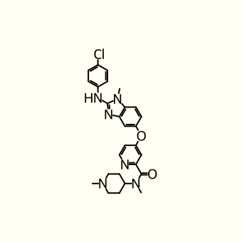 CN1CCC(N(C)C(=O)c2cc(Oc3ccc4c(c3)nc(Nc3ccc(Cl)cc3)n4C)ccn2)CC1